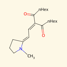 CCCCCCC(=O)C(=C/C=C1\CCCN1C)C(=O)CCCCCC